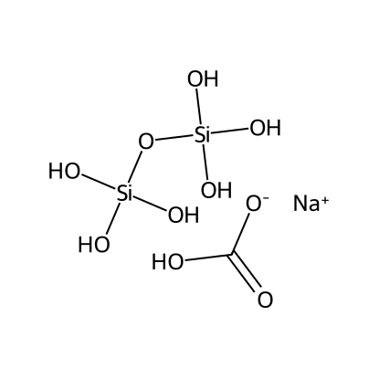 O=C([O-])O.O[Si](O)(O)O[Si](O)(O)O.[Na+]